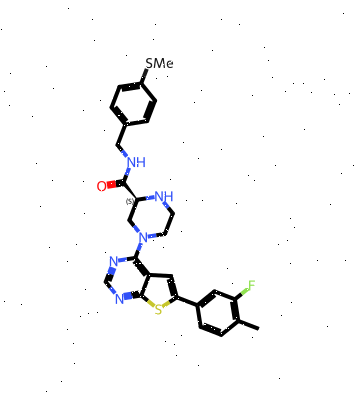 CSc1ccc(CNC(=O)[C@@H]2CN(c3ncnc4sc(-c5ccc(C)c(F)c5)cc34)CCN2)cc1